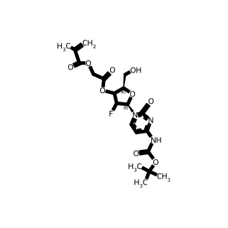 C=C(C)C(=O)OCC(=O)OC1C(F)[C@H](n2ccc(NC(=O)OC(C)(C)C)nc2=O)O[C@@H]1CO